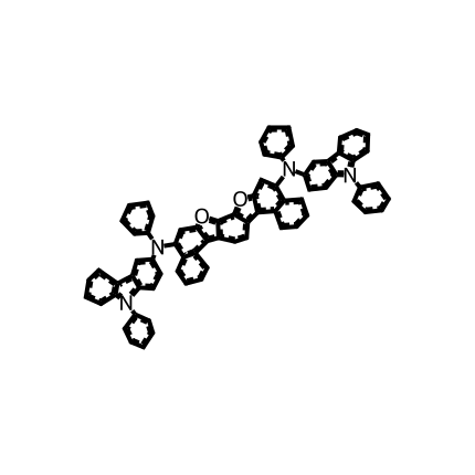 c1ccc(N(c2ccc3c(c2)c2ccccc2n3-c2ccccc2)c2cc3oc4c(ccc5c4oc4cc(N(c6ccccc6)c6ccc7c(c6)c6ccccc6n7-c6ccccc6)c6ccccc6c45)c3c3ccccc23)cc1